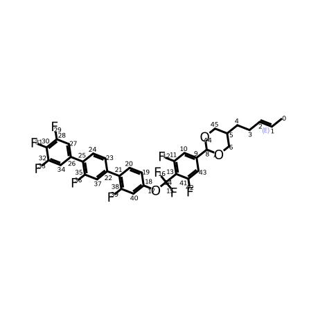 C/C=C/CCC1COC(c2cc(F)c(C(F)(F)Oc3ccc(-c4ccc(-c5cc(F)c(F)c(F)c5)c(F)c4)c(F)c3)c(F)c2)OC1